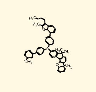 C=C/C=C\C1=C(C)OC2C1=CC=CC2C1=CC=C(N(c2ccc(C3=CC=CC(C)C3)cc2)c2ccc3c(c2)C(C)(C)c2ccc4c(c2-3)OC2C=CC=CC42C)CC1